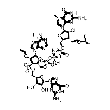 CCO[C@@H]1[C@H](P(=O)([O-])OC[C@H]2O[C@@H](n3cnc4c(=O)[nH]c(N)nc43)[C@H](O)[C@@H]2O)[C@@H](COP(=O)(O)OP(=O)(O)OP(=O)(O)OC[C@H]2O[C@@H](n3c[n+](C)c4c(=O)[nH]c(N)nc43)[C@H](O)[C@@H]2CCOC(F)F)O[C@H]1n1cnc2c(N)ncnc21